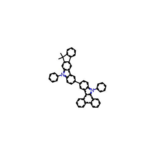 CC1(C)c2ccccc2-c2cc3c4cc(-c5ccc6c(c5)c5c7ccccc7c7ccccc7c5n6-c5ccccc5)ccc4n(-c4ccccc4)c3cc21